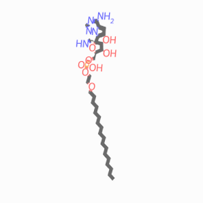 CCCCCCCCCCCCCCCCCCOCCOP(=O)(O)OC[C@H]1O[C@@](C=N)(c2ccc3c(N)ncnn23)[C@H](O)[C@@H]1O